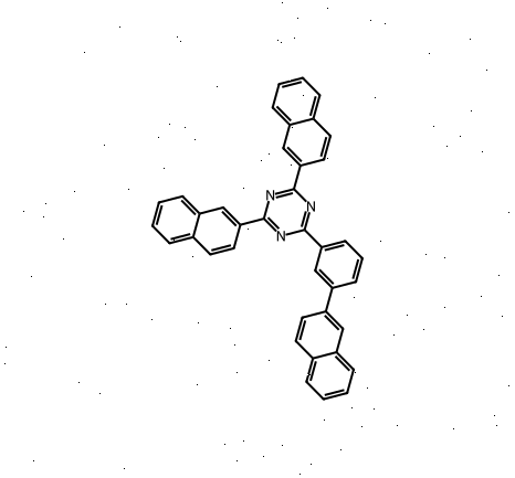 c1cc(-c2ccc3ccccc3c2)cc(-c2nc(-c3ccc4ccccc4c3)nc(-c3ccc4ccccc4c3)n2)c1